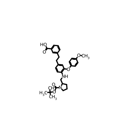 COc1ccc(Oc2cc(CCc3cccc(C(=O)O)c3)ccc2NCC2CCCN2C(=O)OC(C)(C)C)cc1